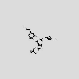 Cc1cc(/C=C/C#N)cc(C)c1Oc1nc(NC23CC(C#N)(C2)C3)nc2nc3n(c12)CC1(CC1)CO3